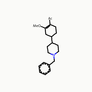 COC1=C(C(C)=O)CCC(C2CCN(Cc3ccccc3)CC2)C1